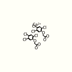 O=C([O-])COc1cc(Cl)c(Cl)cc1Cl.O=C([O-])COc1cc(Cl)c(Cl)cc1Cl.[Ca+2]